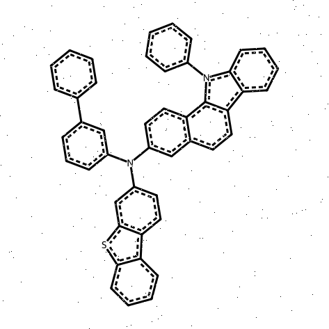 c1ccc(-c2cccc(N(c3ccc4c(ccc5c6ccccc6n(-c6ccccc6)c45)c3)c3ccc4c(c3)sc3ccccc34)c2)cc1